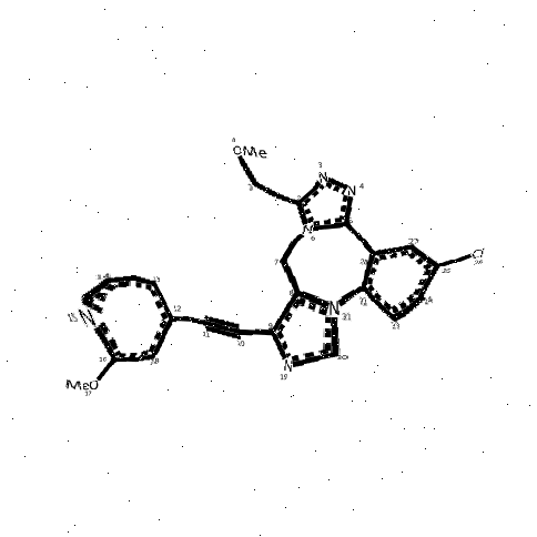 COCc1nnc2n1Cc1c(C#Cc3ccnc(OC)c3)ncn1-c1ccc(Cl)cc1-2